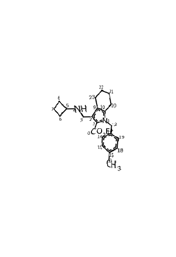 CCOC(=O)c1c(CNC2CCC2)c2c(n1Cc1ccc(C)cc1)CCCC2